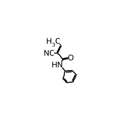 C/C=C(\C#N)C(=O)Nc1ccccc1